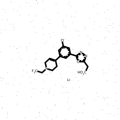 O=C(O)Cc1nnc(-c2cc(Cl)cc(C3=CCN(CC(F)(F)F)CC3)c2)o1.[Li]